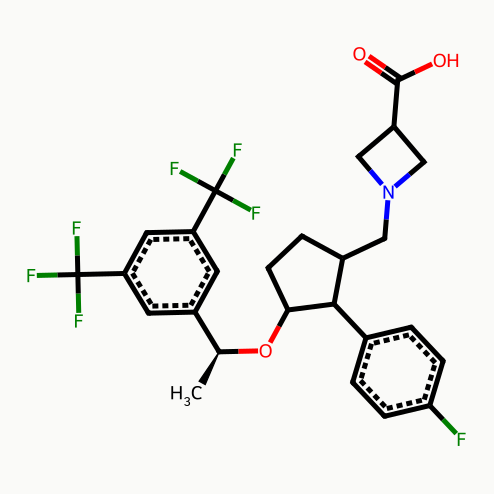 C[C@H](OC1CCC(CN2CC(C(=O)O)C2)C1c1ccc(F)cc1)c1cc(C(F)(F)F)cc(C(F)(F)F)c1